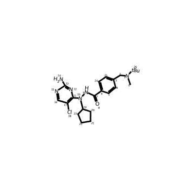 CN(Cc1ccc(C(=O)NN(c2nc(N)ncc2Cl)C2CCCC2)cc1)C(C)(C)C